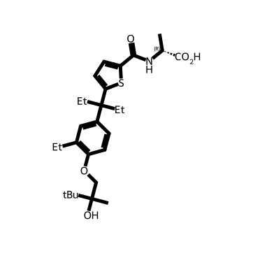 CCc1cc(C(CC)(CC)c2ccc(C(=O)N[C@H](C)C(=O)O)s2)ccc1OCC(C)(O)C(C)(C)C